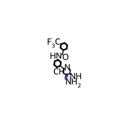 Cc1ccc(NC(=O)c2cccc(C(F)(F)F)c2)cc1C1=C/C(=C/N)C(=N)C=N1